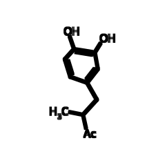 CC(=O)C(C)Cc1ccc(O)c(O)c1